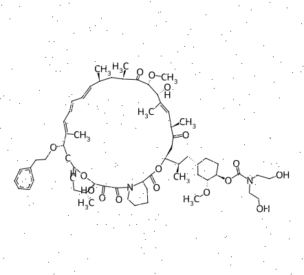 CO[C@@H]1C[C@H](C[C@@H](C)[C@@H]2CC(=O)[C@H](C)/C=C(\C)[C@@H](O)[C@@H](OC)C(=O)[C@H](C)C[C@H](C)/C=C/C=C/C=C(\C)C(OCCc3ccccc3)C[C@@H]3CC[C@@H](C)[C@@](O)(O3)C(=O)C(=O)N3CCCCC3C(=O)O2)CC[C@H]1OC(=O)N(CCO)CCO